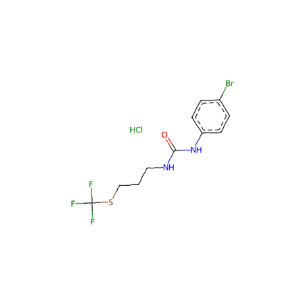 Cl.O=C(NCCCSC(F)(F)F)Nc1ccc(Br)cc1